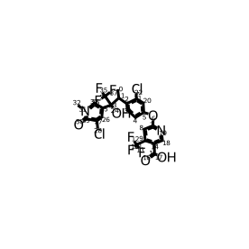 CC(c1ccc(Oc2cc(C(F)(F)F)c(C(=O)O)cn2)cc1Cl)C(O)(c1cc(Cl)c(=O)n(C)c1)C(F)(F)F